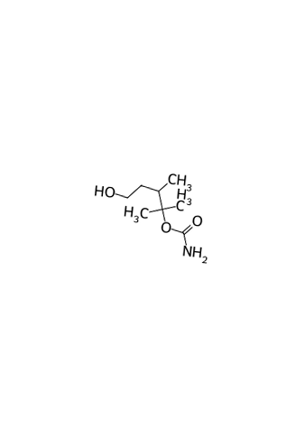 CC(CCO)C(C)(C)OC(N)=O